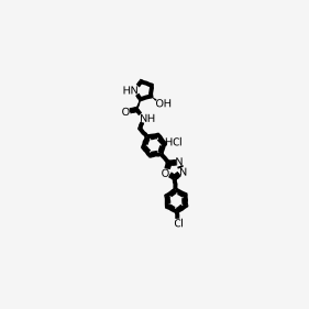 Cl.O=C(NCc1ccc(-c2nnc(-c3ccc(Cl)cc3)o2)cc1)[C@H]1NCC[C@@H]1O